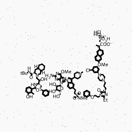 CCc1nn(CCCN2CCN(c3cccc(Cl)c3)CC2)c(=O)n1CCOc1ccccc1.CNS(=O)(=O)CCc1ccc2[nH]cc(C3CCN(C)CC3)c2c1.COc1ccc2cc([C@H](C)C(=O)[O-])ccc2c1.COc1nc(N)nc2c1ncn2[C@@H]1O[C@H](CO)[C@@H](O)[C@@H]1O.CS(=O)(=O)O.Cc1c(O)cccc1C(=O)N[C@@H](CSc1ccccc1)[C@H](O)CN1C[C@H]2CCCC[C@H]2C[C@H]1C(=O)NC(C)(C)C.Cl.Cl.[Na+]